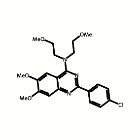 COCCN(CCOC)c1nc(-c2ccc(Cl)cc2)nc2cc(OC)c(OC)cc12